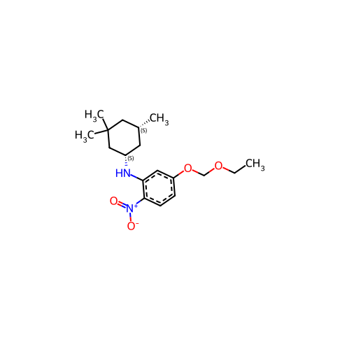 CCOCOc1ccc([N+](=O)[O-])c(N[C@H]2C[C@@H](C)CC(C)(C)C2)c1